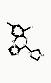 Cc1cc(Cl)c(O[C@H](c2ncco2)[C@@H]2CCNC2)c(Cl)c1